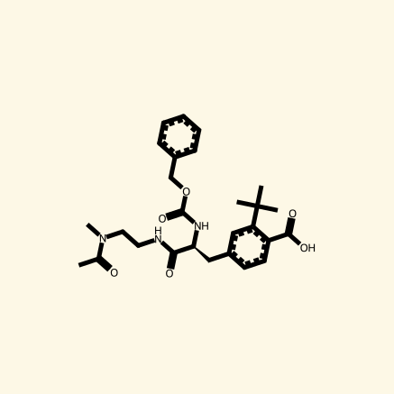 CC(=O)N(C)CCNC(=O)[C@H](Cc1ccc(C(=O)O)c(C(C)(C)C)c1)NC(=O)OCc1ccccc1